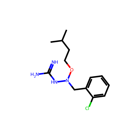 CC(C)CCON(Cc1ccccc1Cl)NC(=N)N